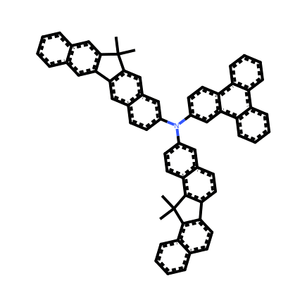 CC1(C)c2cc3ccccc3cc2-c2cc3ccc(N(c4ccc5c6c(ccc5c4)-c4ccc5ccccc5c4C6(C)C)c4ccc5c6ccccc6c6ccccc6c5c4)cc3cc21